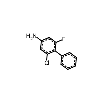 Nc1cc(F)c(-c2ccccc2)c(Cl)c1